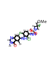 COCC1(F)CN(S(=O)(=O)Nc2ccc(F)c(Nc3ccc4ncn(C)c(=O)c4c3C)c2Cl)C1